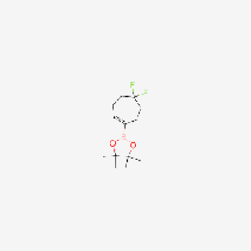 CC1(C)OB(C2=CCCC(F)(F)CC2)OC1(C)C